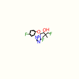 CC(CF)(CF)C(O)C(Oc1ccc(F)cc1)n1cncn1